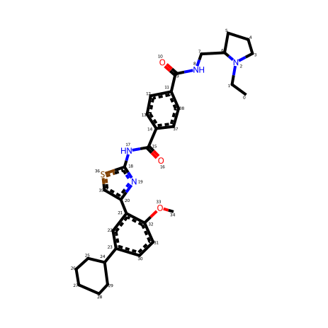 CCN1CCCC1CNC(=O)c1ccc(C(=O)Nc2nc(-c3cc(C4CCCCC4)ccc3OC)cs2)cc1